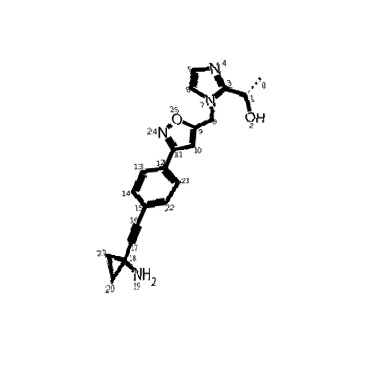 C[C@H](O)c1nccn1Cc1cc(-c2ccc(C#CC3(N)CC3)cc2)no1